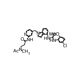 COc1ccc(Cl)cc1NC(=O)Nc1cccc2c1ccn2Cc1ccnc(NC(=O)CCN(C)C(C)=O)c1